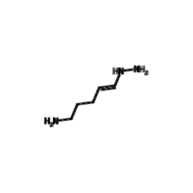 NCCC/C=C/NN